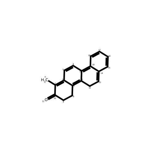 CC1=c2ccc3c(c2CCC1=O)CC=c1ccccc1=3